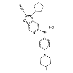 Cl.N#Cc1sc2cnc(Nc3ccc(N4CCNCC4)cn3)cc2c1C1CCCC1